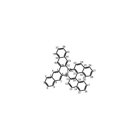 c1ccc2cc3c(cc2c1)B1c2ccc4ccccc4c2-c2c(ccc4ccccc24)N1c1cc2ccccc2cc1-3